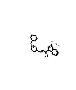 Cn1cc(C(=O)/C=C/C2CCN(Cc3ccccc3)C2)c2ccccc21